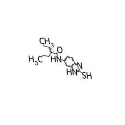 CC/C=C(\CCC)C(=O)Nc1ccc2nc(S)[nH]c2c1